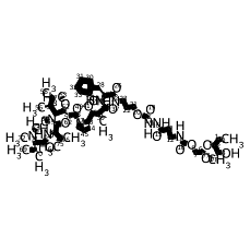 CCC(CO)OC(COC(=O)NCCC(=O)NNC(=O)OCCCNC(=O)[C@H](Cc1ccccc1)NC(=O)[C@H](C)[C@@H](OC)[C@@H]1CCCN1C(=O)C[C@@H](OC)[C@H]([C@@H](C)CC)N(C)C(=O)[C@@H](NC(=O)[C@H](C(C)C)N(C)C)C(C)C)OC